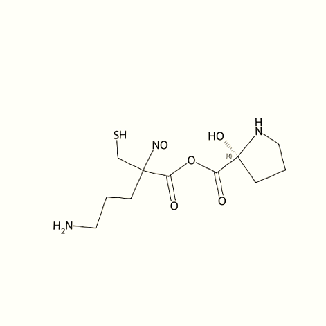 NCCCC(CS)(N=O)C(=O)OC(=O)[C@]1(O)CCCN1